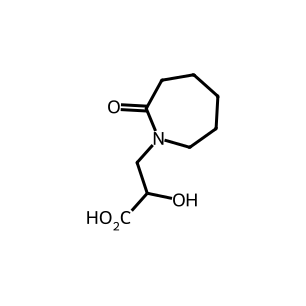 O=C(O)C(O)CN1CCCCCC1=O